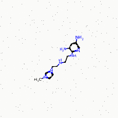 C[n+]1ccn(CCNCCNc2ncc(N)cc2N)c1